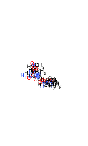 CN[C@H](C(=O)NC(C(=O)N(C)[C@H](/C=C(\C)C(=O)NS(=O)(=O)c1ccc(NC(=O)[C@H](CCCNC(N)=O)NC(=O)C(NC(=O)CC(C)(C)COCC(C)(C)CN2C(=O)C=CC2=O)C(C)C)c2c1CCCC2)C(C)C)C(C)(C)C)C(C)(C)c1ccccc1